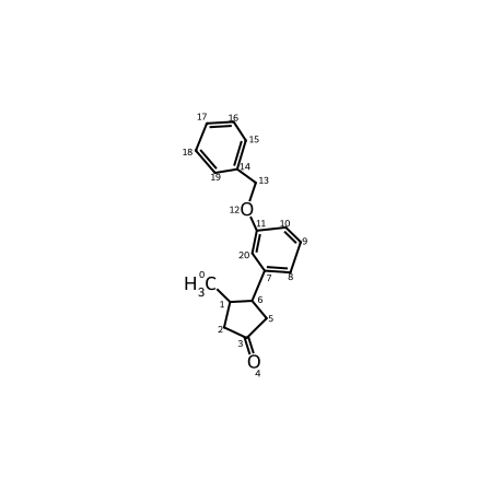 CC1CC(=O)CC1c1cccc(OCc2ccccc2)c1